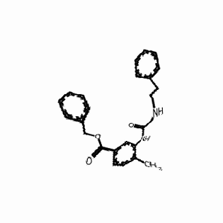 Cc1ccc(C(=O)OCc2ccccc2)cc1NC(=O)NCCc1ccccc1